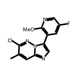 COc1ncc(F)cc1-c1cnc2cc(C)c(Cl)nn12